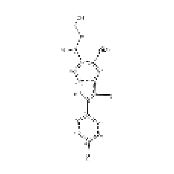 COc1cc2c(C)c(-c3ccc(Br)cc3)oc2cc1N(C)CCO